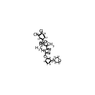 CCn1c(Oc2cccc(N3CCOCC3)c2)nnc1[C@@H](C)NS(=O)(=O)c1ccc(Cl)c(Cl)c1